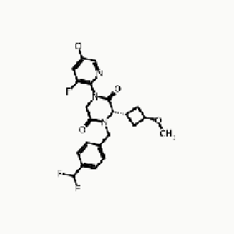 CO[C@H]1C[C@H](C2C(=O)N(c3ncc(Cl)cc3F)CC(=O)N2Cc2ccc(C(F)F)cc2)C1